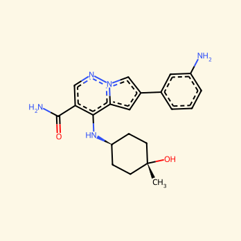 C[C@]1(O)CC[C@H](Nc2c(C(N)=O)cnn3cc(-c4cccc(N)c4)cc23)CC1